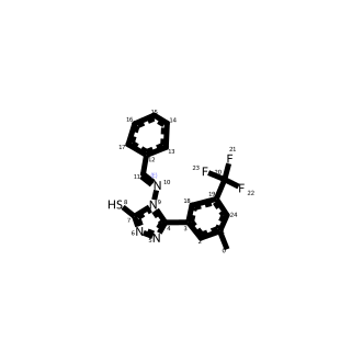 Cc1cc(-c2nnc(S)n2/N=C/c2ccccc2)cc(C(F)(F)F)c1